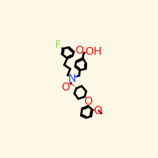 COc1ccccc1O[C@H]1CC[C@@H](C(=O)N(CCCc2cccc(F)c2)Cc2ccc(C(=O)O)cc2)CC1